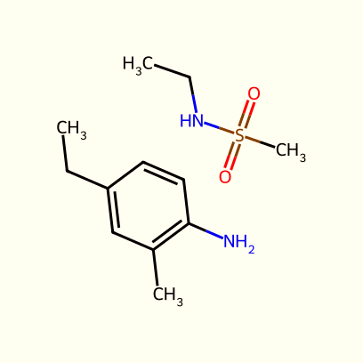 CCNS(C)(=O)=O.CCc1ccc(N)c(C)c1